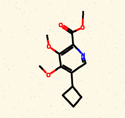 COC(=O)c1ncc(C2CCC2)c(OC)c1OC